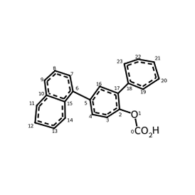 O=C(O)Oc1ccc(-c2cccc3ccccc23)cc1-c1ccccc1